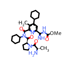 [CH2]c1c(C2CCCCC2)cc(C(=N)NC(=O)OC)nc1C(=O)N(C(=O)[C@@H]1CCCN1C(=O)[C@H](C)N)C1CCCCC1